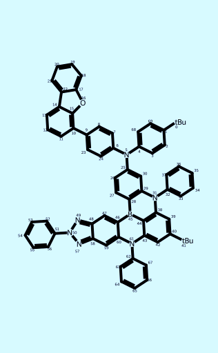 CC(C)(C)c1ccc(N(c2ccc(-c3cccc4c3oc3ccccc34)cc2)c2ccc3c(c2)N(c2ccccc2)c2cc(C(C)(C)C)cc4c2B3c2cc3nn(-c5ccccc5)nc3cc2N4c2ccccc2)cc1